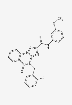 O=C(Nc1cccc(OC(F)(F)F)c1)c1cn2c3ccccc3c(=O)n(Cc3ccccc3Cl)c2n1